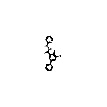 Cc1cc(-c2ccccc2)cc(C(=O)NNc2ncccn2)c1F